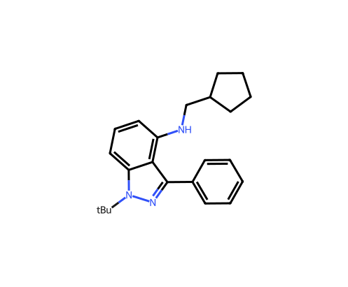 CC(C)(C)n1nc(-c2ccccc2)c2c(NCC3CCCC3)cccc21